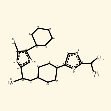 CC(C)c1ncc(C2CCC(CC(C)c3nc(Cl)c(C4CCCCC4)s3)CC2)s1